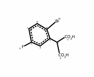 O=C(O)C(C(=O)O)c1cc(F)ccc1Br